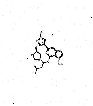 Cn1cnc2cc(-c3cnn(C(C)(C)C)c3)nc(OC(CC(F)F)[C@H]3CNC(=O)C3)c21